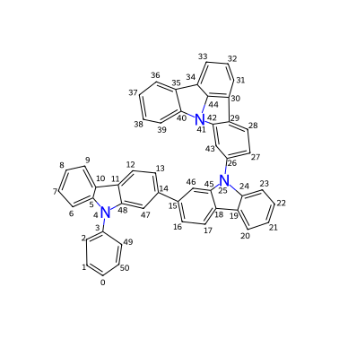 c1ccc(-n2c3ccccc3c3ccc(-c4ccc5c6ccccc6n(-c6ccc7c8cccc9c%10ccccc%10n(c7c6)c98)c5c4)cc32)cc1